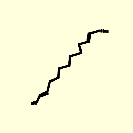 CCCC=CCCCCCCCC=CCCCCCC